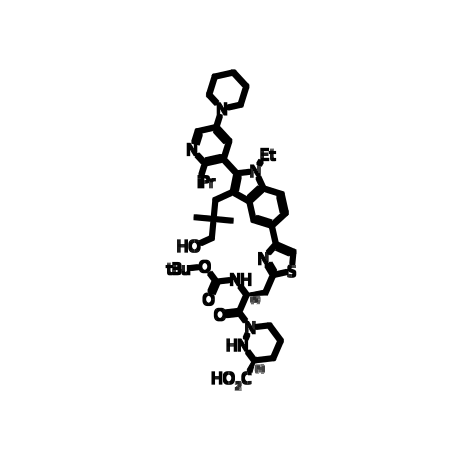 CCn1c(-c2cc(N3CCCCC3)cnc2C(C)C)c(CC(C)(C)CO)c2cc(-c3csc(C[C@H](NC(=O)OC(C)(C)C)C(=O)N4CCC[C@@H](C(=O)O)N4)n3)ccc21